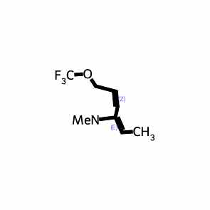 C/C=C(\C=C/COC(F)(F)F)NC